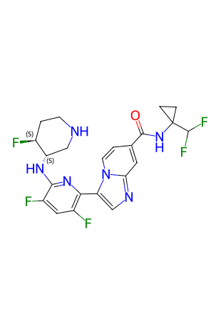 O=C(NC1(C(F)F)CC1)c1ccn2c(-c3nc(N[C@H]4CNCC[C@@H]4F)c(F)cc3F)cnc2c1